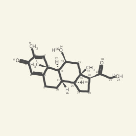 CC1=C[C@@]2(C)C(=CC1=O)CC[C@@H]1[C@@H]2[C@@H]([16OH])C[C@]2(C)[C@@H](C(=O)C[16OH])CC[C@@H]12